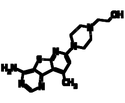 Cc1cc(N2CCN(CCO)CC2)nc2sc3c(N)ncnc3c12